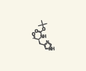 CC(C)(C)OC(=O)N[C@H]([C]=O)Cc1c[nH]cn1